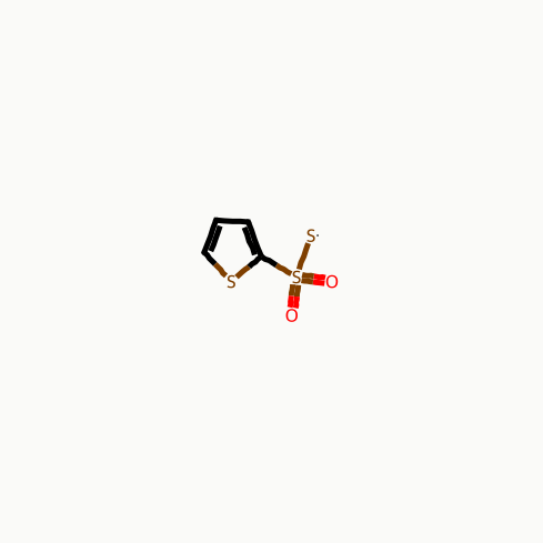 O=S(=O)([S])c1cccs1